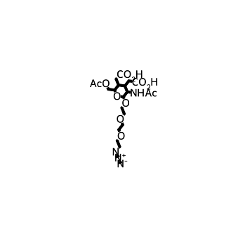 CC(=O)NC1C(OCCOCCOCCN=[N+]=[N-])OC(COC(C)=O)C(CC(=O)O)C1CC(=O)O